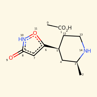 CC(=O)O.C[C@H]1C[C@@H](c2cc(=O)[nH]o2)CCN1